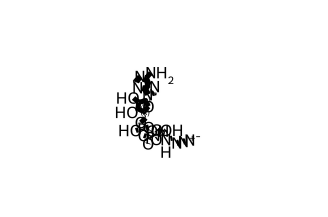 [N-]=[N+]=NCNP(=O)(O)OP(=O)(O)OP(=O)(O)OC[C@H]1O[C@@H](n2cnc3c(N)ncnc32)C(O)[C@H]1O